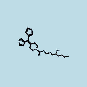 CCCCC(O)COCOC(C)N1CCC(=C(c2ccsc2)c2ccsc2)CC1